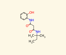 CCC(C)(C)NC(=O)CC(=O)Nc1ccccc1O